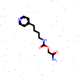 NC(=O)COC(=O)NCCCCc1ccncc1